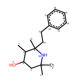 CCC1(C)CC(O)C(C)C(C)(CCc2ccccc2)N1